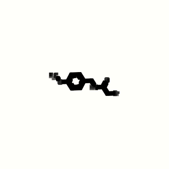 O=C(CBr)NCc1ccc(OC(F)(F)F)cc1